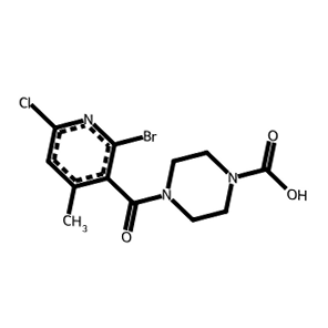 Cc1cc(Cl)nc(Br)c1C(=O)N1CCN(C(=O)O)CC1